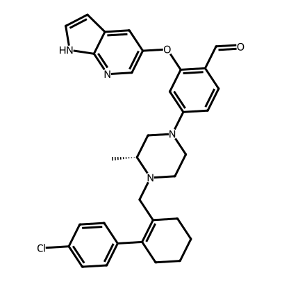 C[C@@H]1CN(c2ccc(C=O)c(Oc3cnc4[nH]ccc4c3)c2)CCN1CC1=C(c2ccc(Cl)cc2)CCCC1